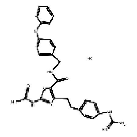 CC(=O)Nc1nc(CCc2ccc(NC(=N)N)cc2)c(C(=O)NCc2ccc(Oc3ccccc3)cc2)s1.Cl